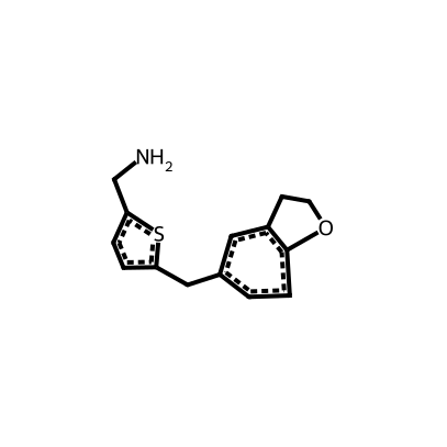 NCc1ccc(Cc2ccc3c(c2)CCO3)s1